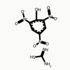 N=C(N)S.O=[N+]([O-])c1cc([N+](=O)[O-])c(O)c([N+](=O)[O-])c1